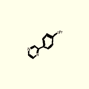 CCCc1ccc(-c2cnccn2)cc1